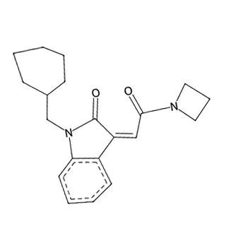 O=C(C=C1C(=O)N(CC2CCCCC2)c2ccccc21)N1CCC1